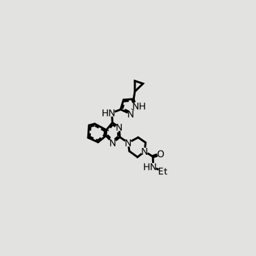 CCNC(=O)N1CCN(c2nc(Nc3cc(C4CC4)[nH]n3)c3ccccc3n2)CC1